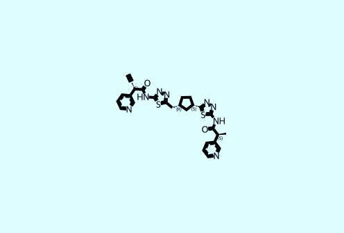 C#C[C@H](C(=O)Nc1nnc(C[C@@H]2CC[C@H](c3nnc(NC(=O)[C@@H](C)c4cccnc4)s3)C2)s1)c1cccnc1